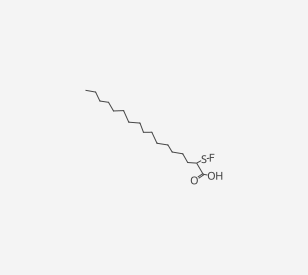 CCCCCCCCCCCCCCCC(SF)C(=O)O